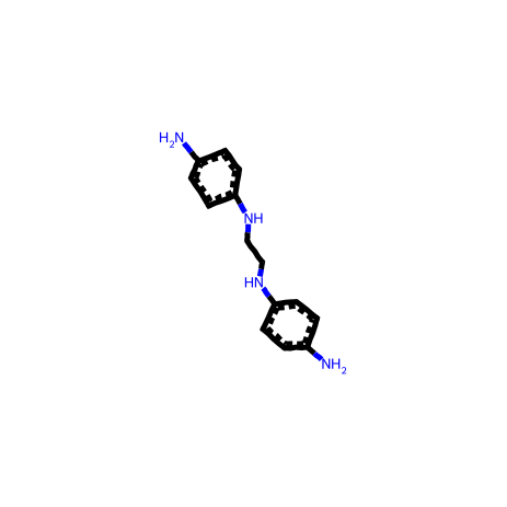 Nc1ccc(NCCNc2ccc(N)cc2)cc1